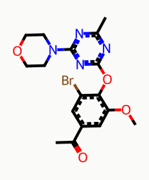 COc1cc(C(C)=O)cc(Br)c1Oc1nc(C)nc(N2CCOCC2)n1